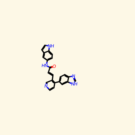 O=C(/C=C/c1cnccc1-c1ccc2nc[nH]c2c1)Nc1ccc2[nH]ccc2c1